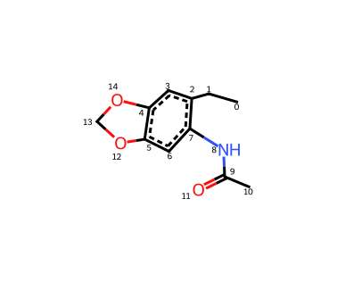 CCc1cc2c(cc1NC(C)=O)OCO2